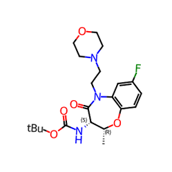 C[C@H]1Oc2ccc(F)cc2N(CCN2CCOCC2)C(=O)[C@H]1NC(=O)OC(C)(C)C